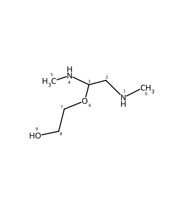 CNCC(NC)OCCO